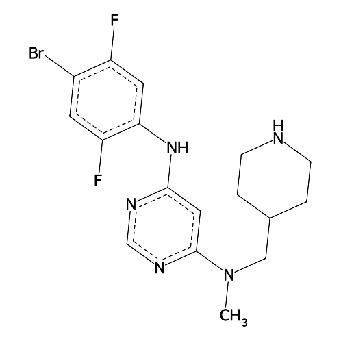 CN(CC1CCNCC1)c1cc(Nc2cc(F)c(Br)cc2F)ncn1